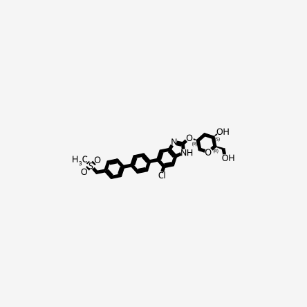 CS(=O)(=O)Cc1ccc(-c2ccc(-c3cc4nc(O[C@H]5CO[C@H](CO)[C@@H](O)C5)[nH]c4cc3Cl)cc2)cc1